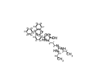 CCCNC(=NCCC[C@H](NC(=O)c1cccn(C(c2ccccc2)c2ccccc2)c1=O)C(=O)O)NCCC